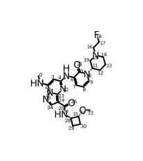 CNc1cc(Nc2cccn([C@H]3CCCN(CCF)C3)c2=O)nc2c(C(=O)N[C@@H]3CC[C@H]3OC)cnn12